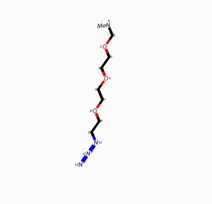 CNCOCCOCCOCCN=[N+]=[N-]